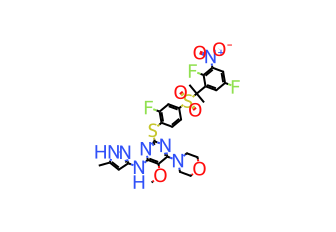 COc1c(Nc2cc(C)[nH]n2)nc(Sc2ccc(S(=O)(=O)C(C)(C)c3cc(F)cc([N+](=O)[O-])c3F)cc2F)nc1N1CCOCC1